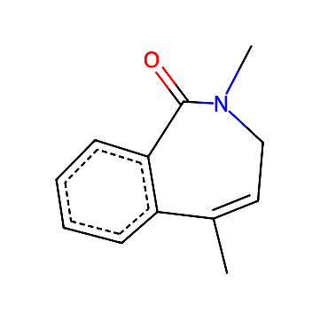 CC1=CCN(C)C(=O)c2ccccc21